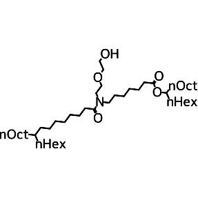 CCCCCCCCC(CCCCCC)CCCCCCCC(=O)N(CCCCCCC(=O)OC(CCCCCC)CCCCCCCC)CCOCCO